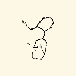 OCC1CCCCC1N1CC2CC[C@@H](C1)O2